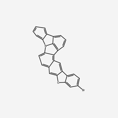 Brc1ccc2c(c1)oc1cc3ccc4c(c3cc12)c1cccc2c3ccccc3n4c21